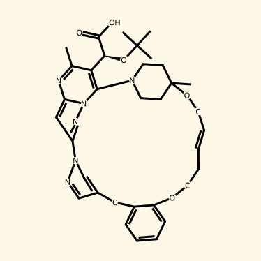 Cc1nc2cc3nn2c(c1[C@H](OC(C)(C)C)C(=O)O)N1CCC(C)(CC1)OC/C=C/CCOc1ccccc1Cc1cnn-3c1